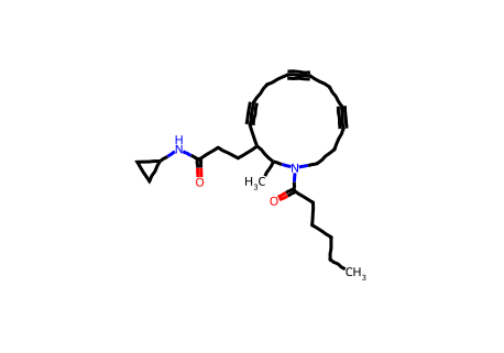 CCCCCC(=O)N1CCC#CCC#CCC#CC(CCC(=O)NC2CC2)C1C